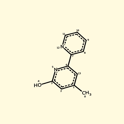 Cc1cc(O)nc(-c2ccccn2)c1